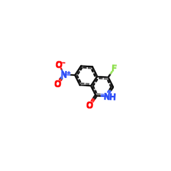 O=c1[nH]cc(F)c2ccc([N+](=O)[O-])cc12